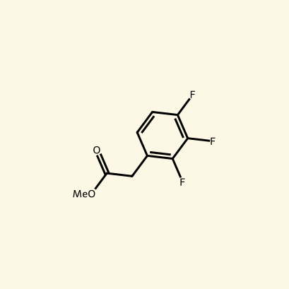 COC(=O)Cc1ccc(F)c(F)c1F